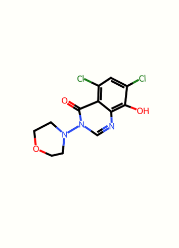 O=c1c2c(Cl)cc(Cl)c(O)c2ncn1N1CCOCC1